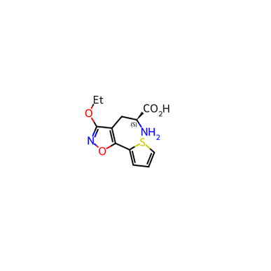 CCOc1noc(-c2cccs2)c1C[C@H](N)C(=O)O